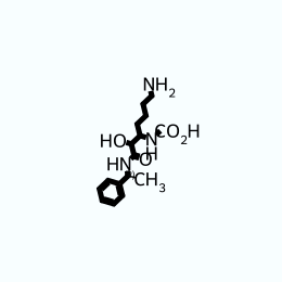 C[C@@H](NC(=O)C(O)C(CCCCN)NC(=O)O)c1ccccc1